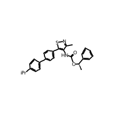 Cc1nsc(-c2ccc(-c3ccc(C(C)C)cc3)cc2)c1NC(=O)O[C@H](C)c1ccccc1